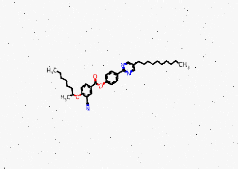 CCCCCCCCCCc1cnc(-c2ccc(OC(=O)c3ccc(OC(C)CCCCCC)c(C#N)c3)cc2)nc1